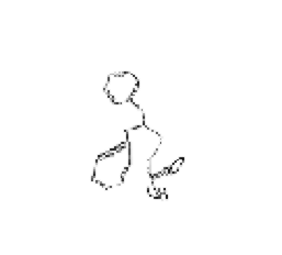 O=C(O)CCC(Cc1ccccc1)Cc1ccccc1